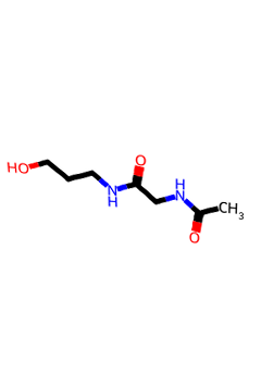 CC(=O)NCC(=O)NCCCO